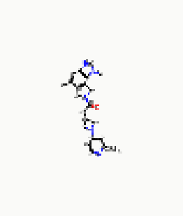 Cc1cc2ncn(C)c2c2c1CN(C(=O)CC1CN(c3ccnc(C(F)(F)F)c3)C1)C2